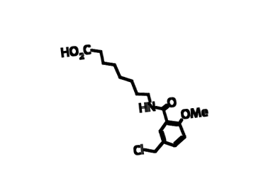 COc1ccc(CCl)cc1C(=O)NCCCCCCCC(=O)O